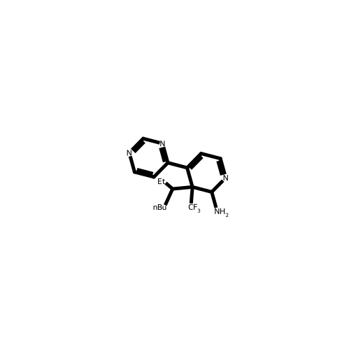 CCCCC(CC)C1(C(F)(F)F)C(c2ccncn2)=CC=NC1N